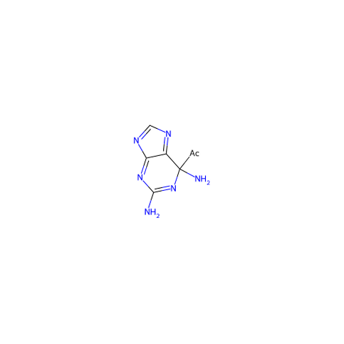 CC(=O)C1(N)N=C(N)N=C2N=CN=C21